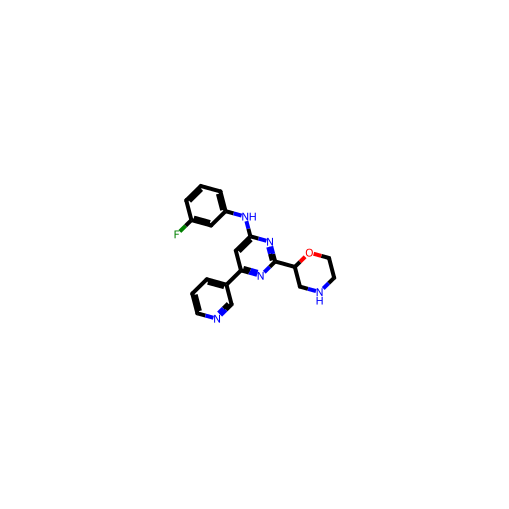 Fc1cccc(Nc2cc(-c3cccnc3)nc(C3CNCCO3)n2)c1